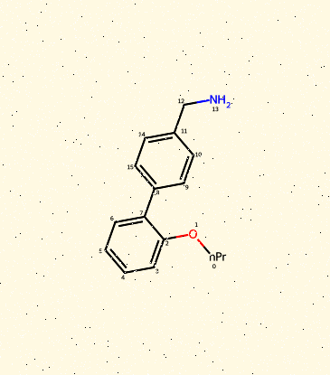 CCCOc1ccccc1-c1ccc(CN)cc1